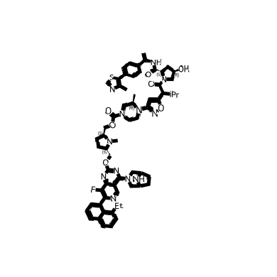 CCc1cccc2cccc(-c3ncc4c(N5CC6CCC(C5)N6)nc(OC[C@@H]5CC[C@@H](COC(=O)N6CCN(c7cc(C(C(=O)N8C[C@H](O)C[C@H]8C(=O)NC(C)c8ccc(-c9scnc9C)cc8)C(C)C)on7)[C@H](C)C6)N5C)nc4c3F)c12